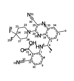 Cc1cc([C@@H](C)Nc2cccc(C#N)c2C(=O)O)c2nc(N3CCC(F)(F)CC3)c(C#N)nc2c1